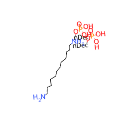 CCCCCCCCCCOP(=O)(O)O.CCCCCCCCCCOP(=O)(O)O.NCCCCCCCCCCCCN